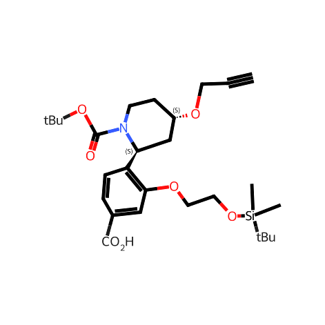 C#CCO[C@H]1CCN(C(=O)OC(C)(C)C)[C@H](c2ccc(C(=O)O)cc2OCCO[Si](C)(C)C(C)(C)C)C1